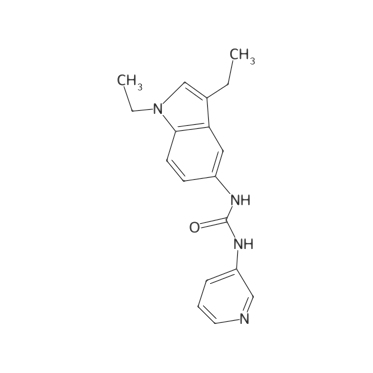 CCc1cn(CC)c2ccc(NC(=O)Nc3cccnc3)cc12